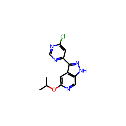 CC(C)Oc1cc2c(-c3cc(Cl)ncn3)n[nH]c2cn1